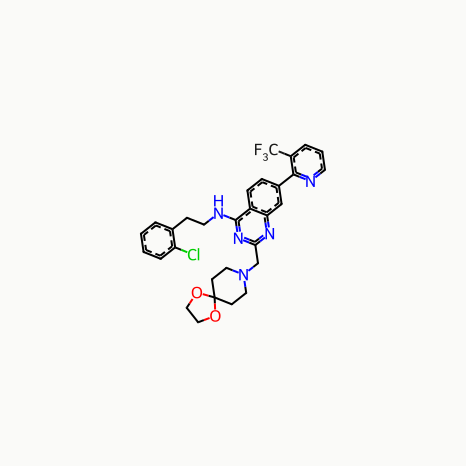 FC(F)(F)c1cccnc1-c1ccc2c(NCCc3ccccc3Cl)nc(CN3CCC4(CC3)OCCO4)nc2c1